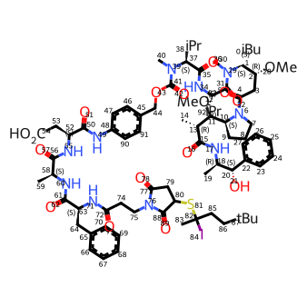 CC[C@H](C)[C@@H]([C@@H](CC(=O)N1CCC[C@H]1[C@H](OC)[C@@H](C)C(=O)N[C@H](C)[C@@H](O)c1ccccc1)OC)N(C)C(=O)[C@@H](NC(=O)[C@H](C(C)C)N(C)C(=O)OCc1ccc(NC(=O)[C@H](CC(=O)O)NC(=O)[C@H](C)NC(=O)[C@H](Cc2ccccc2)NC(=O)CCN2C(=O)CC(SC(C)(I)CCC(C)(C)C)C2=O)cc1)C(C)C